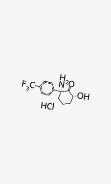 Cl.N[C@@]1(c2ccc(C(F)(F)F)cc2)CCC[C@@H](O)C1=O